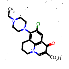 O=C(O)c1cn2c3c(c(N4CCN(CC(F)(F)F)CC4)c(Cl)cc3c1=O)CCC2